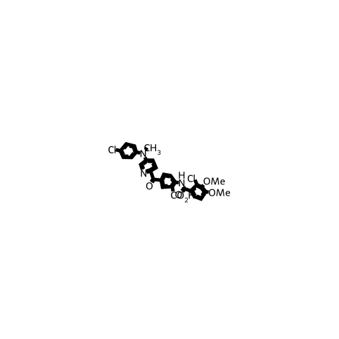 COc1ccc(C(=O)Nc2ccc(C(=O)c3ccc(N(C)c4ccc(Cl)cc4)cn3)cc2C(=O)O)c(Cl)c1OC